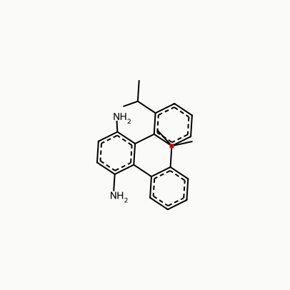 CC(C)c1ccccc1-c1c(N)ccc(N)c1-c1ccccc1C(C)C